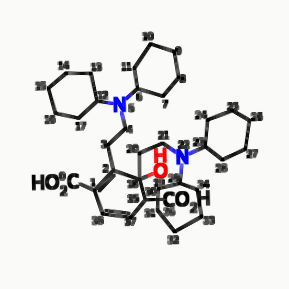 O=C(O)C1=C(CCN(C2CCCCC2)C2CCCCC2)C(O)(CCN(C2CCCCC2)C2CCCCC2)C(C(=O)O)C=C1